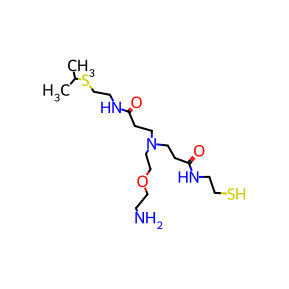 CC(C)SCCNC(=O)CCN(CCOCCN)CCC(=O)NCCS